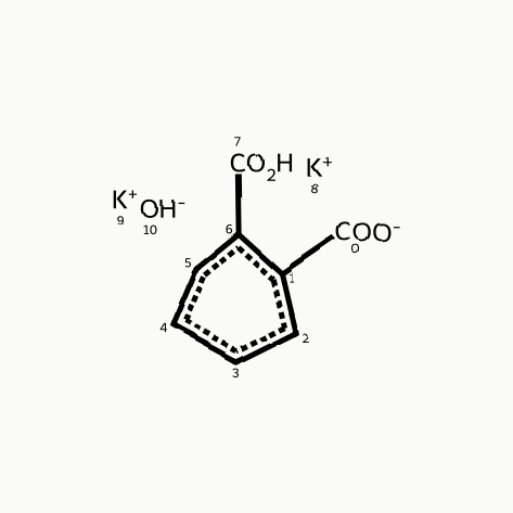 O=C([O-])c1ccccc1C(=O)O.[K+].[K+].[OH-]